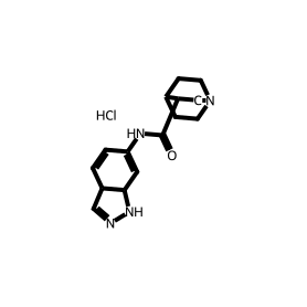 Cl.O=C(NC1=CC2NN=CC2C=C1)C1CN2CCC1CC2